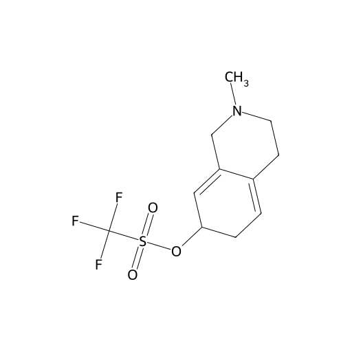 CN1CCC2=CCC(OS(=O)(=O)C(F)(F)F)C=C2C1